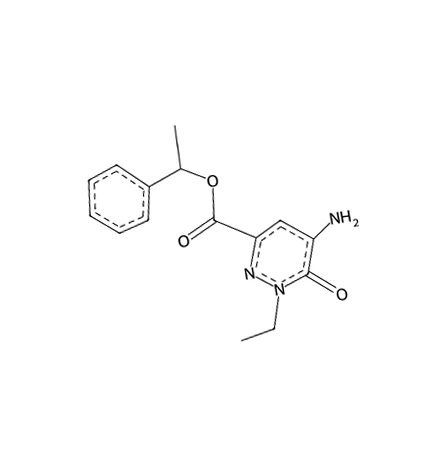 CCn1nc(C(=O)OC(C)c2ccccc2)cc(N)c1=O